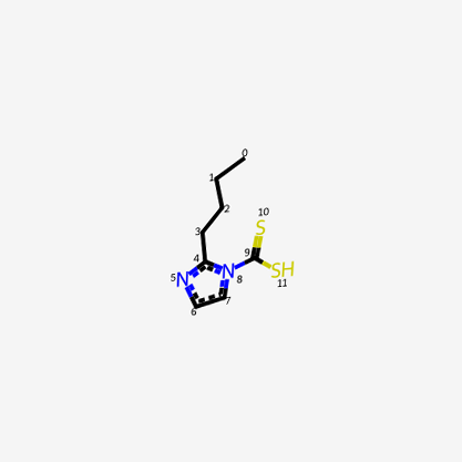 CCCCc1nccn1C(=S)S